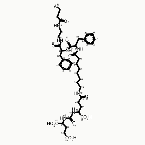 CC(=O)CCC(=O)NCCNC(=O)C(Cc1ccccc1)NC(=O)C(Cc1ccccc1)NC(=O)CCCCCCCNC(=O)CCC(NC(=O)NC(CCC(=O)O)C(=O)O)C(=O)O